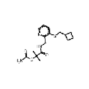 CC(C)(OC(N)=O)C(=O)NCc1ncccc1SCC1CCC1